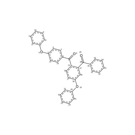 O=C(c1ccc(Oc2ccccc2)cc1)c1ccc(Oc2ccccc2)cc1C(=O)c1ccccc1